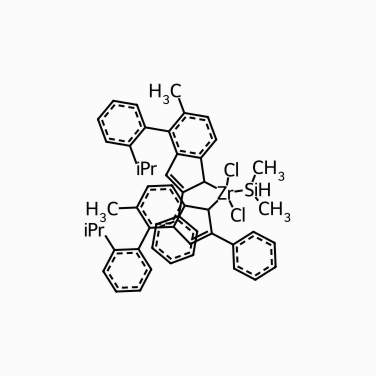 Cc1ccc2c(c1-c1ccccc1C(C)C)C=C(c1ccccc1)[CH]2[Zr]([Cl])([Cl])([CH]1C(c2ccccc2)=Cc2c1ccc(C)c2-c1ccccc1C(C)C)[SiH](C)C